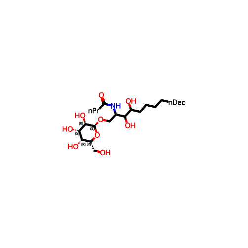 CCCCCCCCCCCCCCC(O)C(O)C(CO[C@H]1O[C@H](CO)[C@H](O)[C@H](O)[C@H]1O)NC(=O)CCC